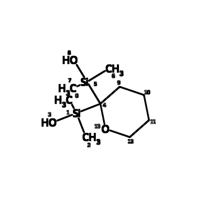 C[Si](C)(O)C1([Si](C)(C)O)CCCCO1